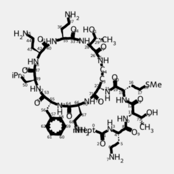 CCCCCCCC(=O)N[C@@H](CCN)C(=O)N[C@H](C(=O)N[C@@H](CCSC)C(=O)N[C@H]1CCNC(=O)[C@H]([C@@H](C)O)NC(=O)[C@H](CCN)NC(=O)[C@H](CCN)NC(=O)[C@H](CC(C)C)NC(=O)[C@@H](Cc2ccccc2)NC(=O)[C@H](CCN)NC1=O)[C@@H](C)O